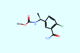 [CH2][C@H](NC(=O)OC(C)(C)C)c1ccc(Cl)c(C(N)=O)c1